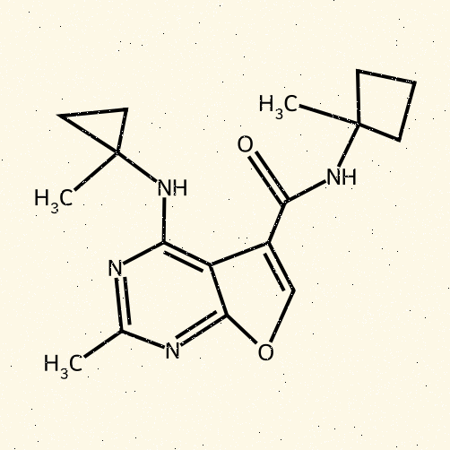 Cc1nc(NC2(C)CC2)c2c(C(=O)NC3(C)CCC3)coc2n1